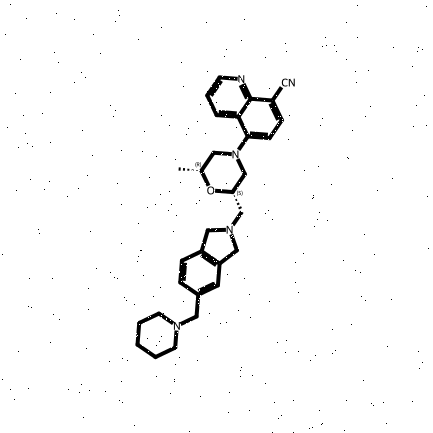 C[C@@H]1CN(c2ccc(C#N)c3ncccc23)C[C@H](CN2Cc3ccc(CN4CCCCC4)cc3C2)O1